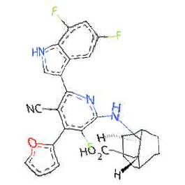 N#Cc1c(-c2c[nH]c3c(F)cc(F)cc23)nc(N[C@H]2C3CCC(CC3)[C@@H]2C(=O)O)c(F)c1-c1ccco1